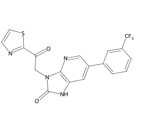 O=C(Cn1c(=O)[nH]c2cc(-c3cccc(C(F)(F)F)c3)cnc21)c1nccs1